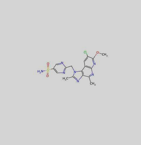 COc1nc2nc(C)c3nc(C)n(Cc4ncc(S(N)(=O)=O)cn4)c3c2cc1Cl